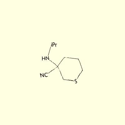 CC(C)NC1(C#N)CCCSC1